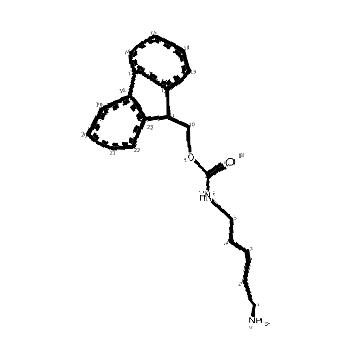 NCCCCCNC(=O)OCC1c2ccccc2-c2ccccc21